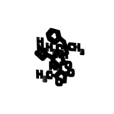 C[C@@H]1OCC(=O)[C@H]1NC(=O)[C@H](CC(C)(C)Cc1ccccc1)NC(=O)c1cc[nH]c1